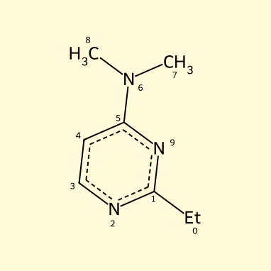 CCc1nccc(N(C)C)n1